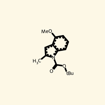 COc1cccc2c1cc(C)n2C(=O)OC(C)(C)C